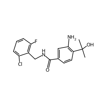 CC(C)(O)c1ccc(C(=O)NCc2c(F)cccc2Cl)cc1N